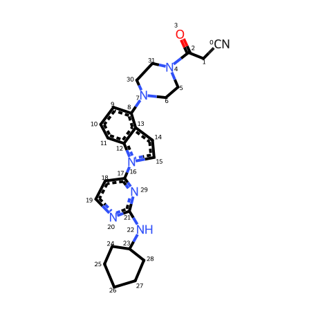 N#CCC(=O)N1CCN(c2cccc3c2ccn3-c2ccnc(NC3CCCCC3)n2)CC1